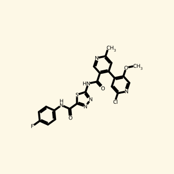 COc1cnc(Cl)cc1-c1cc(C)ncc1C(=O)Nc1nnc(C(=O)Nc2ccc(F)cc2)s1